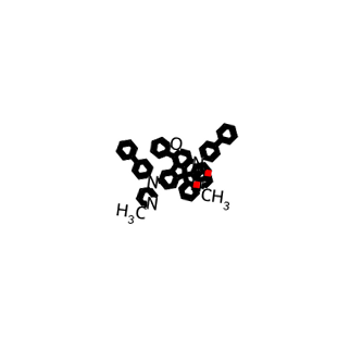 Cc1ccc(N(c2ccc(-c3ccccc3)cc2)c2ccc3c(c2)-c2c(c(N(c4ccc(-c5ccccc5)cc4)c4ccc(C)nc4)cc4oc5ccccc5c24)C3(c2ccccc2)c2ccccc2)cn1